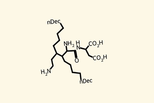 CCCCCCCCCCCCCCC(CCN)C(CCCCCCCCCCCCCC)C(N)C(=O)NC(CC(=O)O)C(=O)O